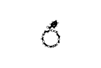 O=C(N1CCOCCOCCOCCOCCOCCOCC1)C12CC3CC(C1)C(C3)C2